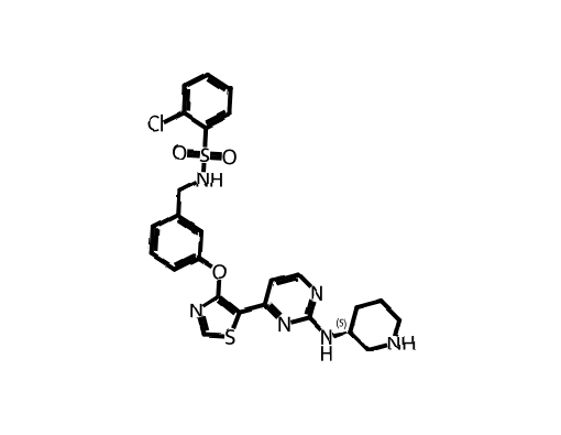 O=S(=O)(NCc1cccc(Oc2ncsc2-c2ccnc(N[C@H]3CCCNC3)n2)c1)c1ccccc1Cl